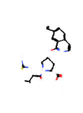 C=Cc1ccc2ccnc(O[C@@H]3C[C@@H](C(=O)OC)N(C(=O)[C@@H](NC(N)=S)C(C)C)C3)c2c1